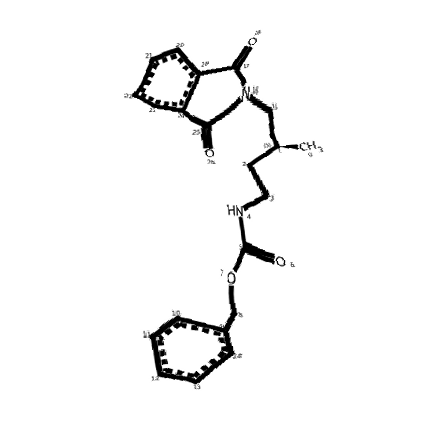 C[C@@H](CCNC(=O)OCc1ccccc1)CN1C(=O)c2ccccc2C1=O